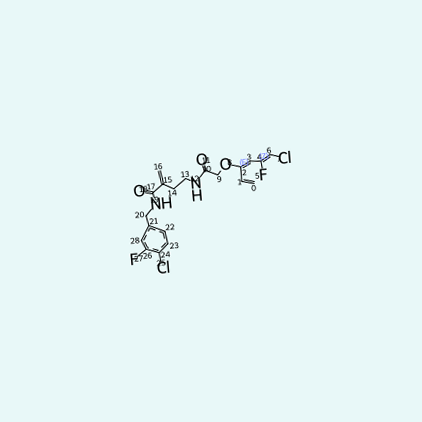 C=C/C(=C\C(F)=C\Cl)OCC(=O)NCCC(=C)C(=O)NCc1ccc(Cl)c(F)c1